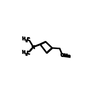 COCC1CC(N(C)C)C1